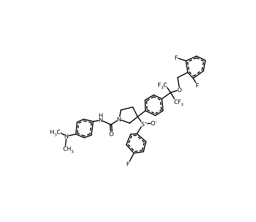 CN(C)c1ccc(NC(=O)N2CCC(c3ccc(C(OCc4c(F)cccc4F)(C(F)(F)F)C(F)(F)F)cc3)([S+]([O-])c3ccc(F)cc3)C2)cc1